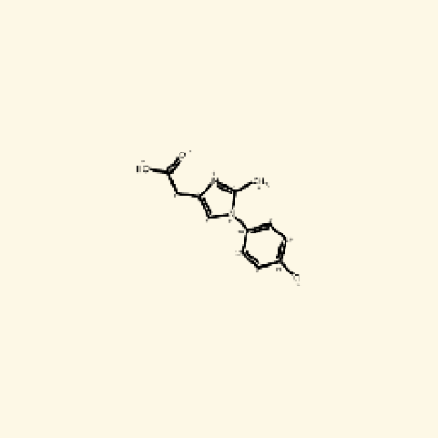 Cc1nc(CC(=O)O)cn1-c1ccc(Cl)cc1